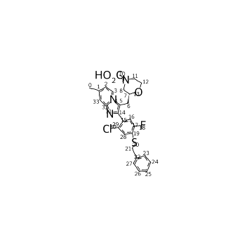 Cc1ccn2c(C[C@H]3CN(C(=O)O)CCO3)c(-c3cc(F)c(SCc4ccccc4)cc3Cl)nc2c1